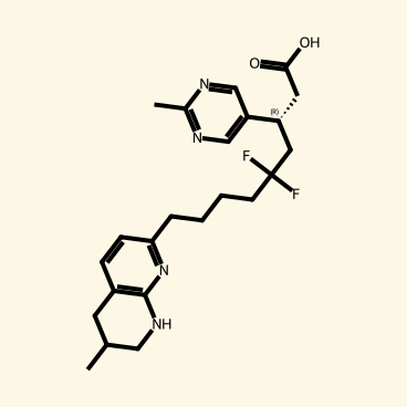 Cc1ncc([C@H](CC(=O)O)CC(F)(F)CCCCc2ccc3c(n2)NCC(C)C3)cn1